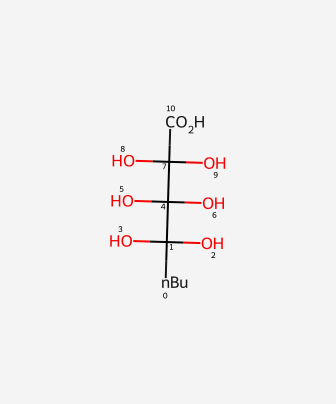 CCCCC(O)(O)C(O)(O)C(O)(O)C(=O)O